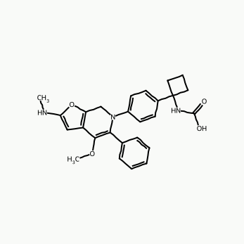 CNc1cc2c(o1)CN(c1ccc(C3(NC(=O)O)CCC3)cc1)C(c1ccccc1)=C2OC